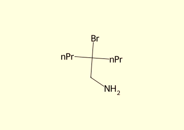 CCCC(Br)(CN)CCC